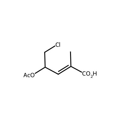 CC(=O)OC(C=C(C)C(=O)O)CCl